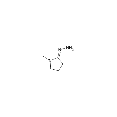 CN1CCCC1=NN